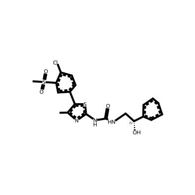 Cc1nc(NC(=O)NC[C@@H](O)c2ccccc2)sc1-c1ccc(Cl)c(S(C)(=O)=O)c1